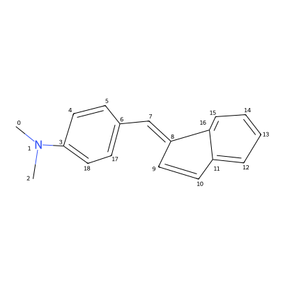 CN(C)c1ccc(C=C2C=Cc3ccccc32)cc1